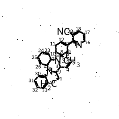 C=CC1C(/C=C\C)N(C2(C)CCC=C(c3ncccc3C#N)C2)C2C=CC=CC2N1c1ccccc1